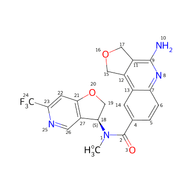 CN(C(=O)c1ccc2nc(N)c3c(c2c1)COC3)[C@@H]1COc2cc(C(F)(F)F)ncc21